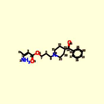 CC(N)=CC(=O)OCCCN1CCC(C(=O)c2ccccc2)CC1